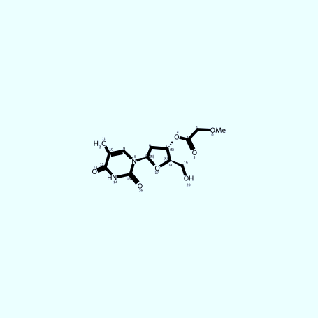 COCC(=O)O[C@H]1C[C@H](n2cc(C)c(=O)[nH]c2=O)O[C@@H]1CO